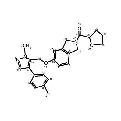 Cn1nnc(-c2ccc(F)cc2)c1COc1ccc2c(n1)CN(C(=O)C1CCCO1)C2